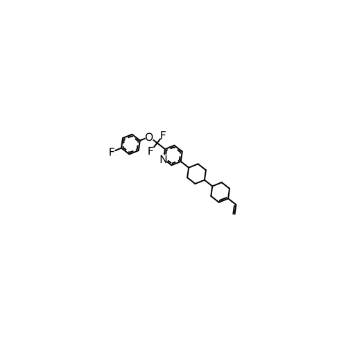 C=CC1=CCC(C2CCC(c3ccc(C(F)(F)Oc4ccc(F)cc4)nc3)CC2)CC1